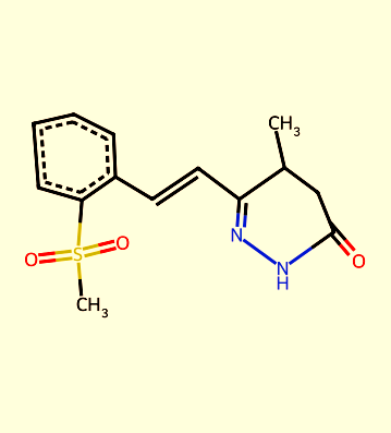 CC1CC(=O)NN=C1C=Cc1ccccc1S(C)(=O)=O